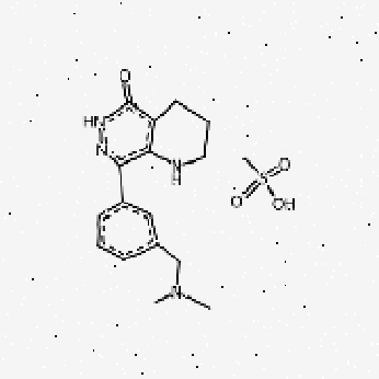 CN(C)Cc1cccc(-c2n[nH]c(=O)c3c2NCCC3)c1.CS(=O)(=O)O